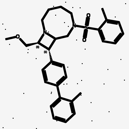 COC[C@@H]1[C@@H](c2ccc(-c3ccccc3C)cc2)C2CN(S(=O)(=O)c3ccccc3C)CCCCN21